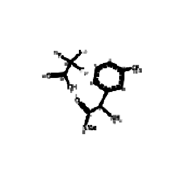 CNC(=O)C(N)c1cccc(C(F)(F)F)c1.O=C(O)C(F)(F)F